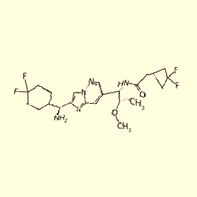 CO[C@@H](C)[C@@H](NC(=O)CC1CC(F)(F)C1)c1cnn2cc([C@@H](N)C3CCC(F)(F)CC3)nc2c1